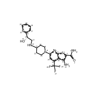 NC(=O)c1sc2nc(N3CCC(NC[C@H](O)c4ccccn4)CC3)cc(C(F)(F)F)c2c1N